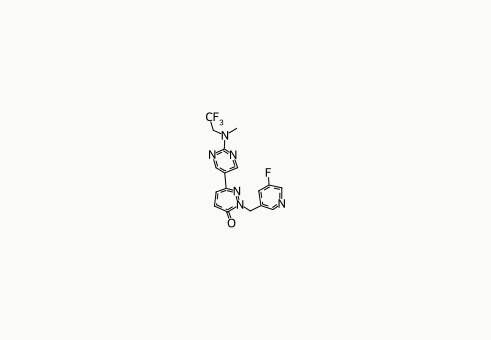 CN(CC(F)(F)F)c1ncc(-c2ccc(=O)n(Cc3cncc(F)c3)n2)cn1